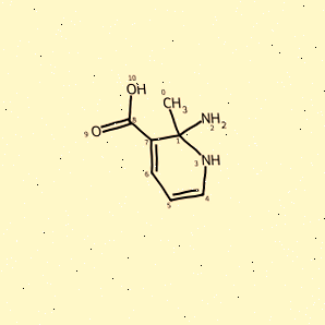 CC1(N)NC=CC=C1C(=O)O